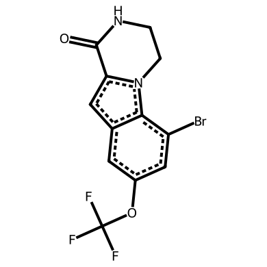 O=C1NCCn2c1cc1cc(OC(F)(F)F)cc(Br)c12